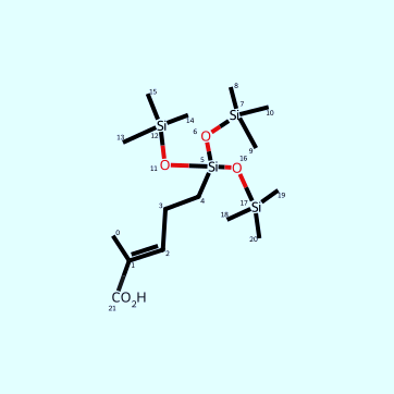 CC(=CCC[Si](O[Si](C)(C)C)(O[Si](C)(C)C)O[Si](C)(C)C)C(=O)O